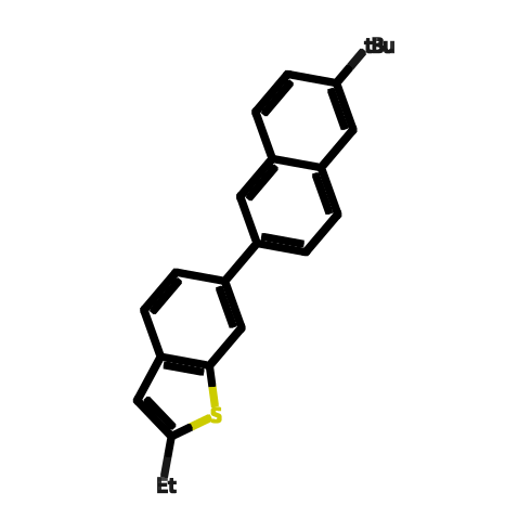 CCc1cc2ccc(-c3ccc4cc(C(C)(C)C)ccc4c3)cc2s1